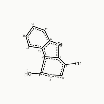 Oc1ccc(Cl)c2[se]c3ccccc3c12